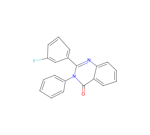 O=c1c2ccccc2nc(-c2cccc(F)c2)n1-c1ccccc1